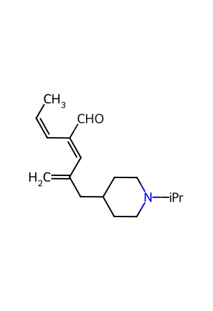 C=C(/C=C(C=O)\C=C/C)CC1CCN(C(C)C)CC1